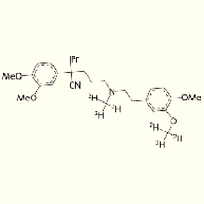 [2H]C([2H])([2H])Oc1cc(CCN(CCCC(C#N)(c2ccc(OC)c(OC)c2)C(C)C)C([2H])([2H])[2H])ccc1OC